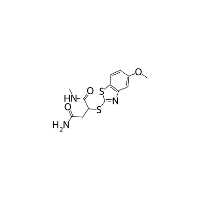 CNC(=O)C(CC(N)=O)Sc1nc2cc(OC)ccc2s1